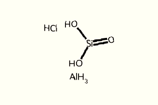 Cl.O=[Si](O)O.[AlH3]